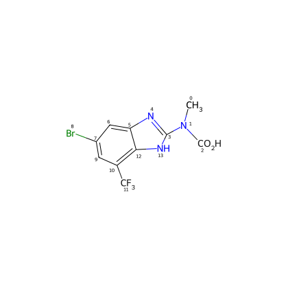 CN(C(=O)O)c1nc2cc(Br)cc(C(F)(F)F)c2[nH]1